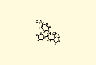 CN1CCC/C1=N/C(=N/c1ccc([N+](=O)[O-])cc1)N1CCCC1